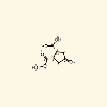 COC(=O)[C@H]1CC(=O)C[C@H]1C(=O)O